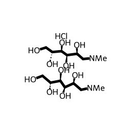 CNC[C@H](O)[C@@H](O)[C@H](O)[C@H](O)CO.CNC[C@H](O)[C@@H](O)[C@H](O)[C@H](O)CO.Cl